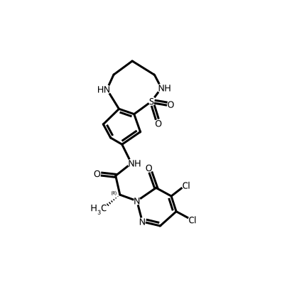 C[C@H](C(=O)Nc1ccc2c(c1)S(=O)(=O)NCCCN2)n1ncc(Cl)c(Cl)c1=O